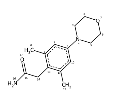 Cc1cc(N2CCOCC2)cc(C)c1CC(N)=O